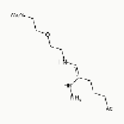 CNCCOCCN/C=C(/CCCC(C)=O)NN